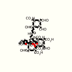 O=CCN1CCN(CC=O)CCN(C(C=O)CCC(=O)NCCN(C[C@H](Cc2ccc(N=C=S)cc2)NC(=O)CC[C@@H](C(=O)O)N2CCN(CC=O)CCN(CC(=O)O)CCN(CC(=O)O)CC2)C(=O)CCC(C(=O)O)N2CCN(CC=O)CCN(CC=O)CCN(CC(=O)O)CC2)CCN(CC(=O)O)CC1